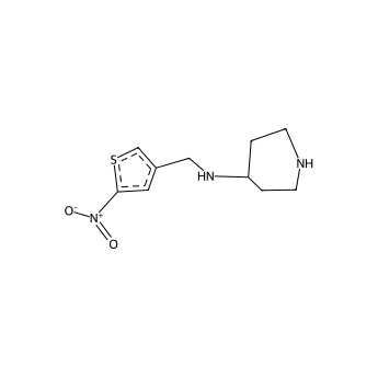 O=[N+]([O-])c1cc(CNC2CCNCC2)cs1